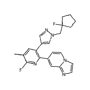 Cc1cc(-c2cnn(CC3(F)CCCC3)c2)c(-c2ccn3ccnc3c2)nc1F